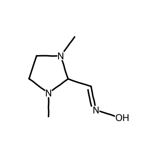 CN1CCN(C)C1C=NO